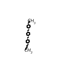 CCCCC[C@H]1CC[C@H](CC[C@H]2CC[C@H](CC[C@H]3CC[C@H](CCC)CC3)CC2)CC1